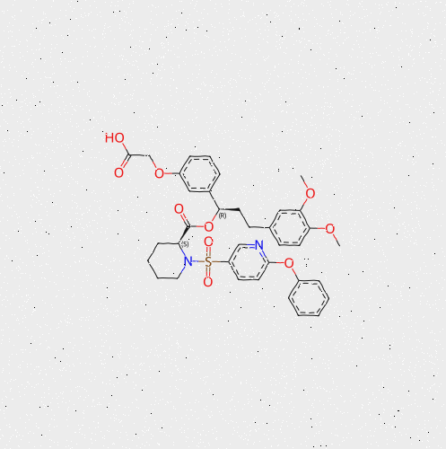 COc1ccc(CC[C@@H](OC(=O)[C@@H]2CCCCN2S(=O)(=O)c2ccc(Oc3ccccc3)nc2)c2cccc(OCC(=O)O)c2)cc1OC